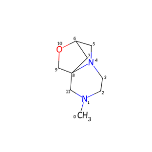 CN1CCN2CC3CC2(CO3)C1